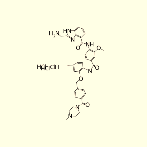 COc1cc(C(=O)N(C)c2ccc(C)cc2OCc2ccc(C(=O)N3CCN(C)CC3)cc2)ccc1NC(=O)c1cccc2[nH]c(CN)nc12.Cl.Cl.Cl